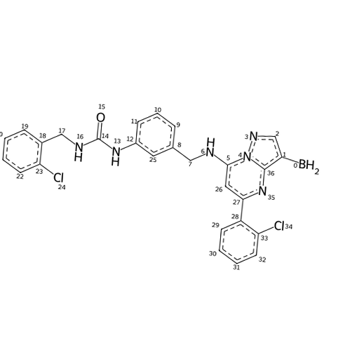 Bc1cnn2c(NCc3cccc(NC(=O)NCc4ccccc4Cl)c3)cc(-c3ccccc3Cl)nc12